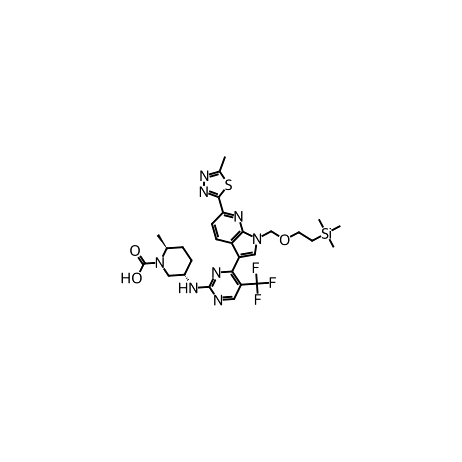 Cc1nnc(-c2ccc3c(-c4nc(N[C@H]5CC[C@H](C)N(C(=O)O)C5)ncc4C(F)(F)F)cn(COCC[Si](C)(C)C)c3n2)s1